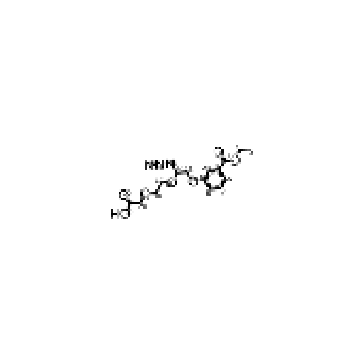 CCOC(=O)c1cccc(OCC(N=[N+]=[N-])OCCOCC(=O)O)c1